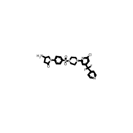 NC1CC(=O)N(c2ccc(S(=O)(=O)N3CCN(c4cc(C(F)(F)c5ccncc5)cc(Cl)n4)CC3)cc2)C1